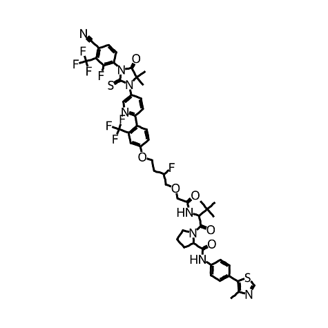 Cc1ncsc1-c1ccc(NC(=O)C2CCCN2C(=O)C(NC(=O)COCC(F)CCOc2ccc(-c3ccc(N4C(=S)N(c5ccc(C#N)c(C(F)(F)F)c5F)C(=O)C4(C)C)cn3)c(C(F)(F)F)c2)C(C)(C)C)cc1